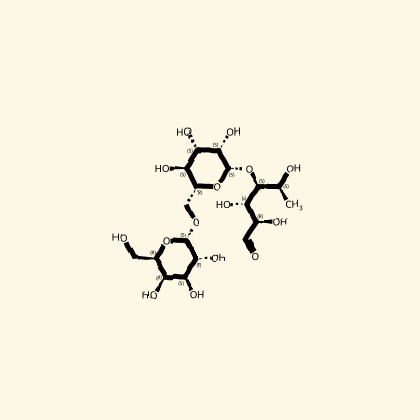 C[C@H](O)[C@H](O[C@@H]1O[C@H](CO[C@H]2O[C@H](CO)[C@H](O)[C@H](O)[C@H]2O)[C@@H](O)[C@H](O)[C@@H]1O)[C@@H](O)[C@@H](O)C=O